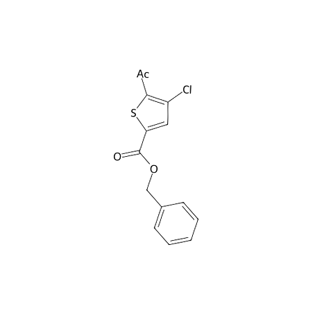 CC(=O)c1sc(C(=O)OCc2ccccc2)cc1Cl